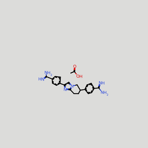 CC(=O)O.N=C(N)c1ccc(-c2cn3c(n2)CCC(c2ccc(C(=N)N)cc2)C3)cc1